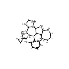 C[C@H]1C2NCNN2C2SC3OCCOCC3C2C(c2c(F)cccc2F)N1CC1(O)CC1